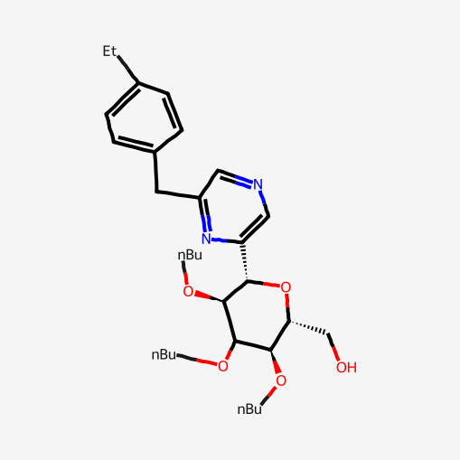 CCCCOC1[C@@H](OCCCC)[C@H](c2cncc(Cc3ccc(CC)cc3)n2)O[C@H](CO)[C@H]1OCCCC